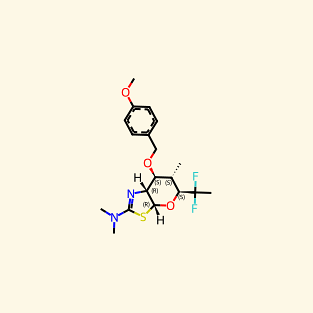 COc1ccc(CO[C@H]2[C@H](C)[C@@H](C(C)(F)F)O[C@@H]3SC(N(C)C)=N[C@H]23)cc1